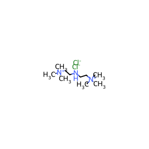 C[N+](C)(C)CCNCC[N+](C)(C)C.[Cl-].[Cl-]